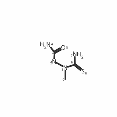 CN([N]C(N)=O)C(N)=S